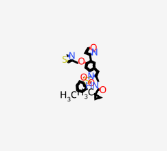 Cc1ccc(S(=O)(=O)n2c(CNC(=O)C3(C)CC3)cc3cc(-c4ccon4)c(OCc4cscn4)cc32)cc1